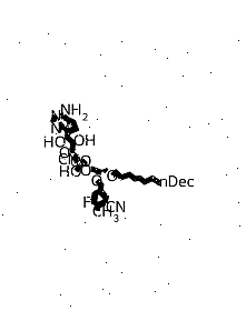 CCCCCCCCCCCCCCCCCCOC[C@H](COP(=O)(O)OC[C@@H](OC#N)[C@@H](O)[C@@H](O)c1ccc2c(N)ncnn12)OCc1cc(F)c(C)c(C#N)c1